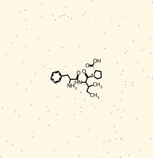 CCC(C)C(NC(=O)C(N)Cc1ccccc1)C(=O)N1CCC[C@H]1C(=O)O